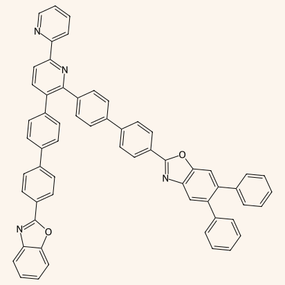 c1ccc(-c2cc3nc(-c4ccc(-c5ccc(-c6nc(-c7ccccn7)ccc6-c6ccc(-c7ccc(-c8nc9ccccc9o8)cc7)cc6)cc5)cc4)oc3cc2-c2ccccc2)cc1